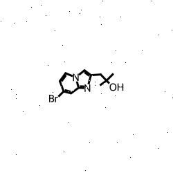 CC(C)(O)Cc1cn2ccc(Br)cc2n1